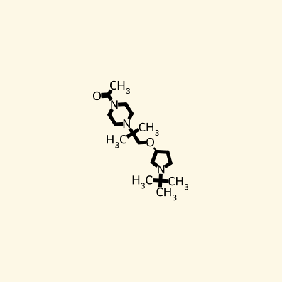 CC(=O)N1CCN(C(C)(C)CO[C@@H]2CCN(C(C)(C)C)C2)CC1